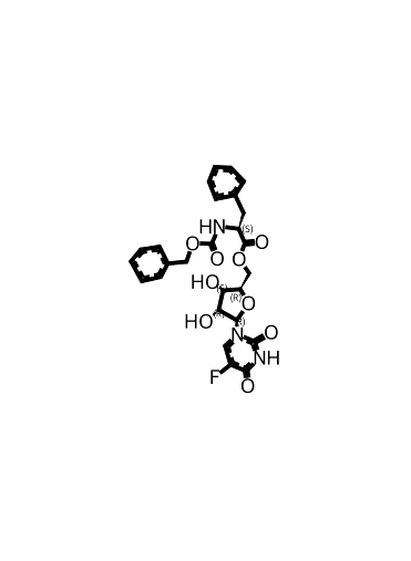 O=C(N[C@@H](Cc1ccccc1)C(=O)OC[C@H]1O[C@@H](n2cc(F)c(=O)[nH]c2=O)[C@H](O)[C@@H]1O)OCc1ccccc1